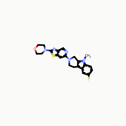 Cn1c2c(c3cc(F)ccc31)CCN(c1cc3sc(N4CCOCC4)nc3cn1)C2